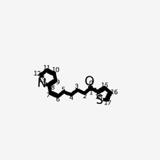 O=C(CCCC/C=C\c1ccccn1)c1cccs1